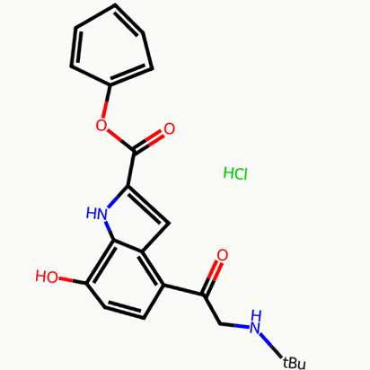 CC(C)(C)NCC(=O)c1ccc(O)c2[nH]c(C(=O)Oc3ccccc3)cc12.Cl